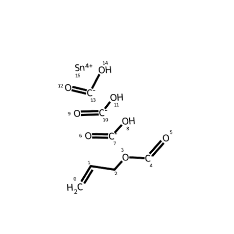 C=CCO[C-]=O.O=[C-]O.O=[C-]O.O=[C-]O.[Sn+4]